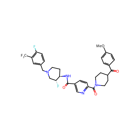 COc1ccc(C(=O)C2CCN(C(=O)c3ccc(C(=O)N[C@@H]4CCN(Cc5ccc(F)c(C(F)(F)F)c5)C[C@H]4F)cn3)CC2)cc1